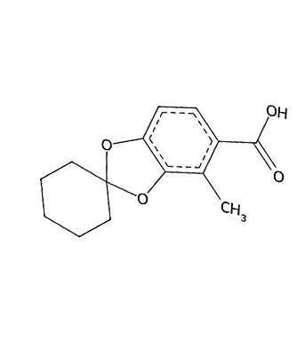 Cc1c(C(=O)O)ccc2c1OC1(CCCCC1)O2